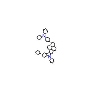 c1ccc(-c2ccc3c(c2)c2c4ccc5c(-c6ccc(N(c7ccccc7)c7ccccc7)cc6)ccc6ccc(cc2n3-c2ccccc2)c4c65)cc1